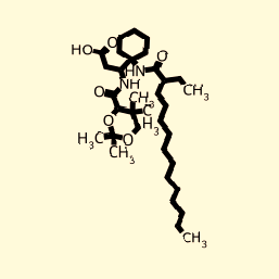 CCCCCCCCCCCCC(CC)C(=O)NC1(C(CC(=O)O)NC(=O)C2OC(C)(C)OCC2(C)C)CCCCC1